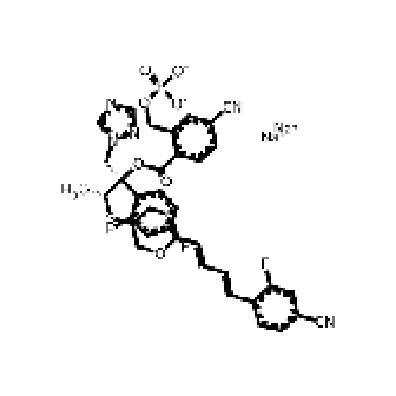 C[C@@H](SC1COC(C=CC=Cc2ccc(C#N)cc2F)OC1)[C@@](Cn1cncn1)(OC(=O)c1ccc(C#N)cc1COP(=O)([O-])[O-])c1ccc(F)cc1F.[Na+].[Na+]